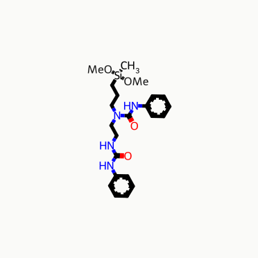 CO[Si](C)(CCCN(CCNC(=O)Nc1ccccc1)C(=O)Nc1ccccc1)OC